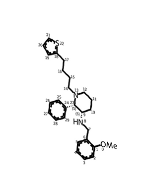 COc1ccccc1CN[C@H]1CCCN(CCCCc2cccs2)[C@H]1c1ccccc1